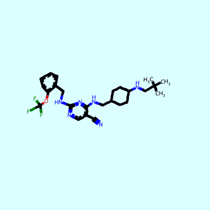 CC(C)(C)CNC1CCC(CNc2nc(NCc3ccccc3OC(F)(F)F)ncc2C#N)CC1